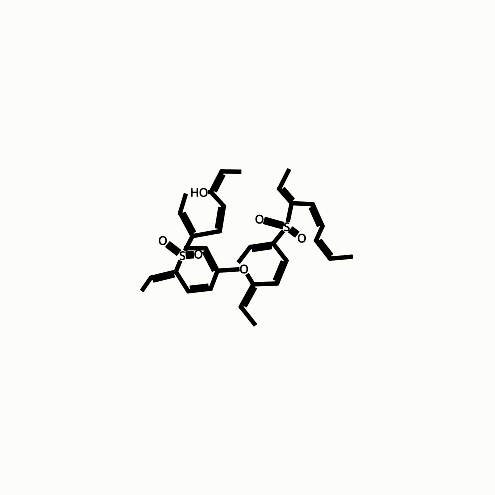 C\C=C/C=C\C(=C/C)S(=O)(=O)C(/C=C\C(=C/C)OC(/C=C\C(=C/C)S(=O)(=O)C(/C=C\C(O)=C/C)=C/C)=C/C)=C/C